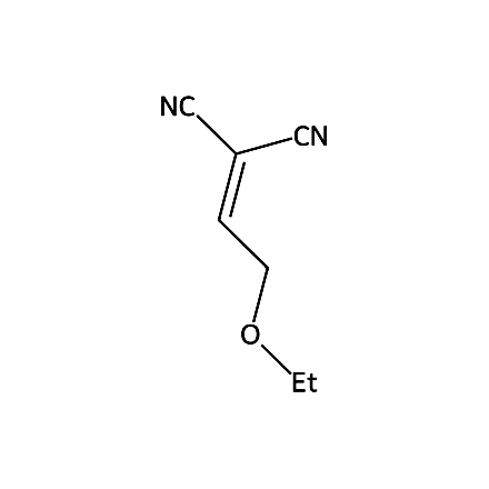 CCOCC=C(C#N)C#N